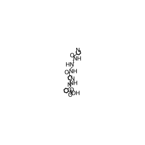 O=C(NCCNCCNC(=O)c1ccc(NN=Cc2ccccc2S(=O)(=O)O)nc1)c1cccnc1